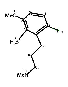 Bc1c(OC)ccc(F)c1CCCNC